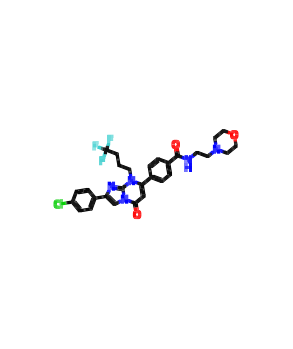 O=C(NCCN1CCOCC1)c1ccc(-c2cc(=O)n3cc(-c4ccc(Cl)cc4)nc3n2CCCC(F)(F)F)cc1